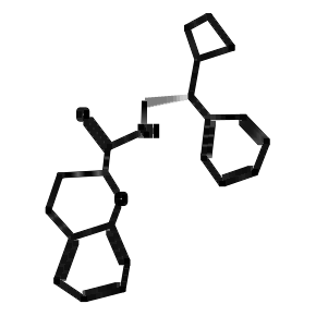 O=C(NC[C@@H](c1ccccc1)C1CCC1)C1CCc2ccccc2O1